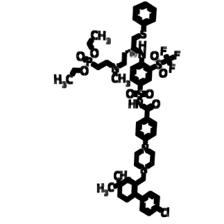 CCOP(=O)(CCN(C)CC[C@H](CSc1ccccc1)Nc1ccc(S(=O)(=O)NC(=O)c2ccc(N3CCN(CC4=C(c5ccc(Cl)cc5)CCC(C)(C)C4)CC3)cc2)cc1S(=O)(=O)C(F)(F)F)OCC